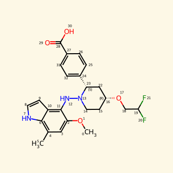 COc1cc(C)c2[nH]ccc2c1NN1CC[C@@H](OCC(F)F)C[C@H]1c1ccc(C(=O)O)cc1